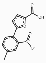 Cc1ccc(-c2ccc(C(=O)O)o2)c([N+](=O)[O-])c1